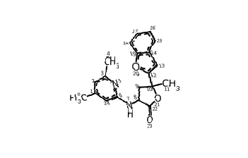 Cc1cc(C)nc(NC2CC(C)(c3cc4ccccc4o3)OC2=O)c1